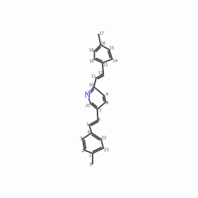 Cc1ccc(C=Cc2ccc(C=Cc3ccc(C)cc3)nc2)cc1